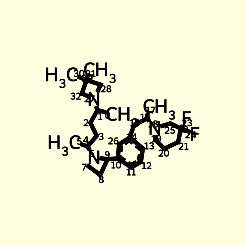 CC(CCC(C)N1CCC1c1cccc(CC(C)N2CCCC(F)(F)C2)c1)N1CC(C)(C)C1